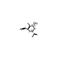 C=C(C)[C@@H]1CC(C#N)=C(C)[C@H](O)C1